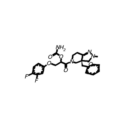 CN1N=C2CCN(C(=O)C(COc3ccc(F)c(F)c3)OC(N)=O)C[C@@]2(Cc2ccccc2)C1=O